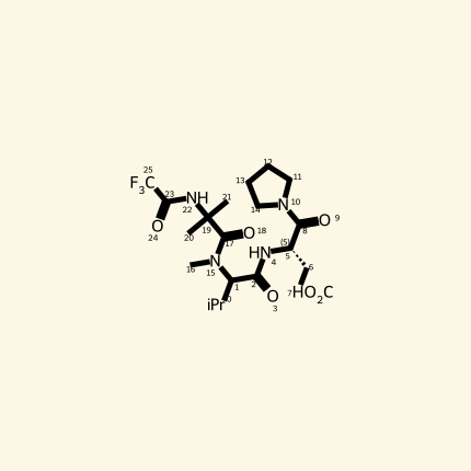 CC(C)C(C(=O)N[C@@H](CC(=O)O)C(=O)N1CCCC1)N(C)C(=O)C(C)(C)NC(=O)C(F)(F)F